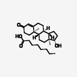 CCCCCCCC(=O)O.C[C@]12CC[C@H]3[C@@H](CCC4=CC(=O)CC[C@@]43C)[C@@H]1CC[C@@H]2O